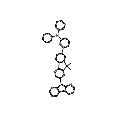 CC1(C)c2cc(-c3cccc(N(c4ccccc4)c4ccccc4)c3)ccc2-c2ccc(-n3c4ccccc4c4cccnc43)cc21